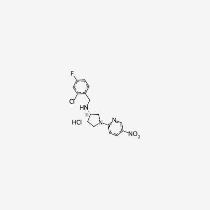 Cl.O=[N+]([O-])c1ccc(N2CC[C@H](NCc3ccc(F)cc3Cl)C2)nc1